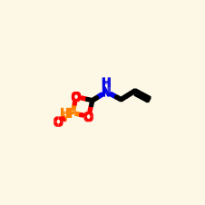 C=CCNC1O[PH](=O)O1